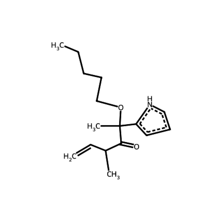 C=CC(C)C(=O)C(C)(OCCCCC)c1ccc[nH]1